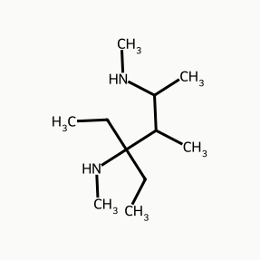 CCC(CC)(NC)C(C)C(C)NC